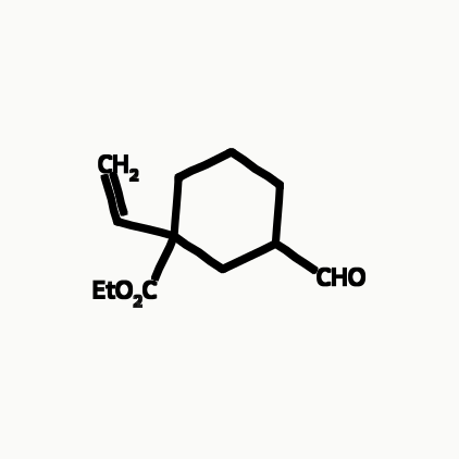 C=CC1(C(=O)OCC)CCCC(C=O)C1